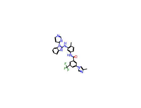 Cc1cn(-c2cc(C(=O)Nc3ccc(C)c(Nc4nc5ccccc5n4-c4ccncn4)c3)cc(C(F)(F)F)c2)cn1